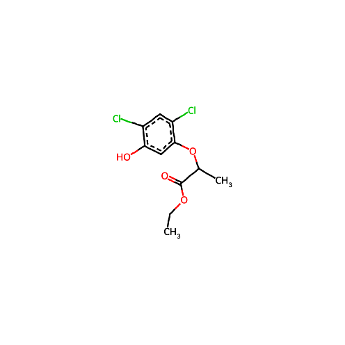 CCOC(=O)C(C)Oc1cc(O)c(Cl)cc1Cl